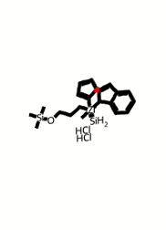 C[Si](C)(C)OCC[CH2][Zr]([CH3])(=[SiH2])([C]1=CC=CC1)[CH]1C=Cc2ccccc21.Cl.Cl